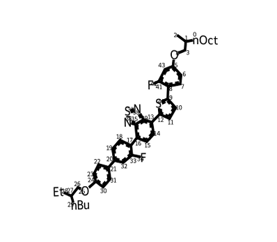 CCCCCCCCC(C)COc1ccc(-c2ccc(-c3ccc(-c4ccc(-c5ccc(OCC(CC)CCCC)cc5)cc4F)c4nsnc34)s2)c(F)c1